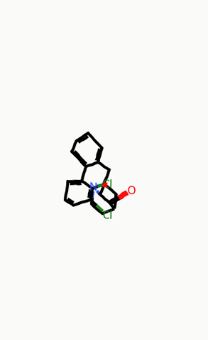 O=C1C2CCN(CC2)C1Cc1ccccc1-c1cccc(Cl)c1Cl